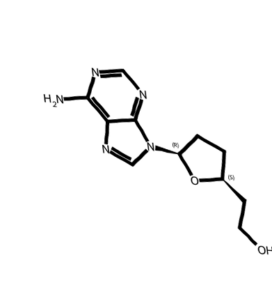 Nc1ncnc2c1ncn2[C@H]1CC[C@@H](CCO)O1